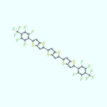 Fc1c(F)c(C(F)(F)F)c(F)c(F)c1-c1cc2sc(-c3cc4sc(-c5cc6sc(-c7c(F)c(F)c(C(F)(F)F)c(F)c7F)cc6s5)cc4s3)cc2s1